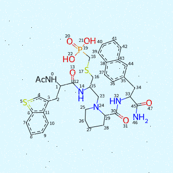 CC(=O)NC(Cc1csc2ccccc12)C(=O)NC(CSCP(=O)(O)O)CN1CCCCC1C(=O)NC(Cc1ccc2ccccc2c1)C(N)=O